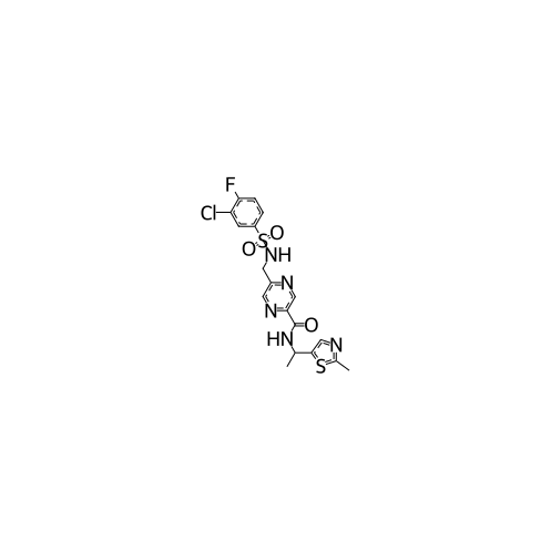 Cc1ncc(C(C)NC(=O)c2cnc(CNS(=O)(=O)c3ccc(F)c(Cl)c3)cn2)s1